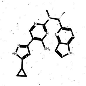 C[C@H](c1ccc2[nH]ccc2n1)N(C)c1ncc(-c2cc(C3CC3)[nH]n2)c(N)n1